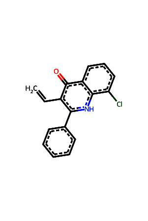 C=Cc1c(-c2ccccc2)[nH]c2c(Cl)cccc2c1=O